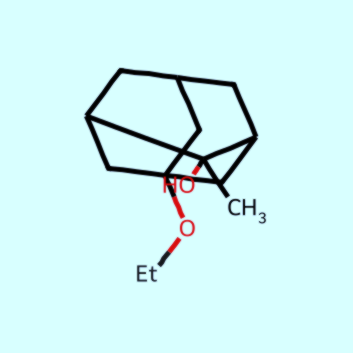 CCOC12CC3CC(C1)C(C)(O)C(C3)C2